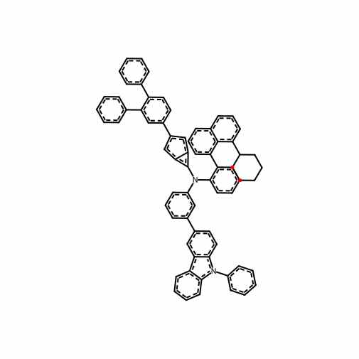 c1ccc(-c2ccc(-c3cc4c(N(c5cccc(-c6ccc7c(c6)c6ccccc6n7-c6ccccc6)c5)c5ccccc5-c5cccc6cccc(C7CCCCC7)c56)c-4c3)cc2-c2ccccc2)cc1